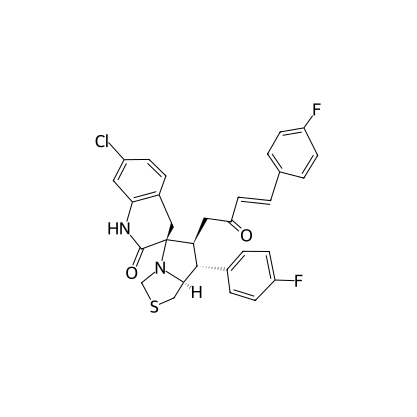 O=C(/C=C/c1ccc(F)cc1)C[C@H]1[C@H](c2ccc(F)cc2)[C@H]2CSCN2[C@@]12Cc1ccc(Cl)cc1NC2=O